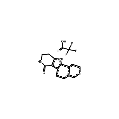 O=C(O)C(F)(F)F.O=C1NCCc2[nH]c3c(ccc4cnccc43)c21